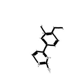 CCc1ccc(-c2ccnc(Cl)n2)cc1C